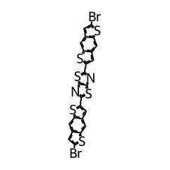 Brc1cc2cc3sc(-c4nc5sc(-c6cc7cc8sc(Br)cc8cc7s6)nc5s4)cc3cc2s1